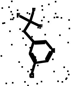 FC(F)(F)[CH]c1cncc(Cl)c1